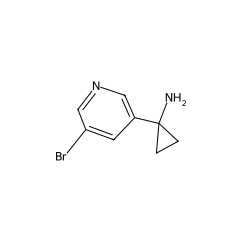 NC1(c2cncc(Br)c2)CC1